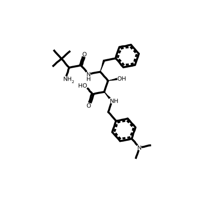 CN(C)c1ccc(CN[C@@H](C(=O)O)[C@H](O)[C@H](Cc2ccccc2)NC(=O)C(N)C(C)(C)C)cc1